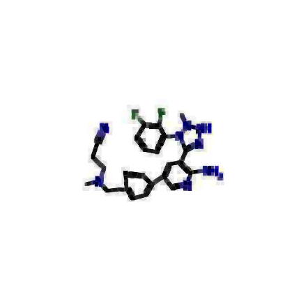 CN(CCC#N)Cc1ccc(-c2cnc(N)c(C3=NNN(C)N3c3cccc(F)c3F)c2)cc1